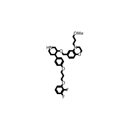 COCCCN1CCOc2ccc(COC3CNCCC3c3ccc(OCCCOc4cccc(F)c4F)cc3)cc21